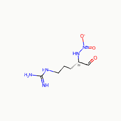 N=C(N)NCCC[C@@H](C=O)N[N+](=O)[O-]